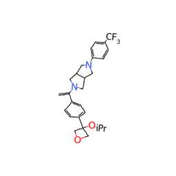 C=C(c1ccc(C2(OC(C)C)COC2)cc1)N1CC2CN(c3ccc(C(F)(F)F)cc3)CC2C1